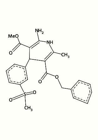 COC(=O)C1=C(N)NC(C)=C(C(=O)OCc2ccccc2)C1c1cccc(S(C)(=O)=O)c1